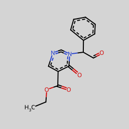 CCOC(=O)c1cncn(C(C=O)c2ccccc2)c1=O